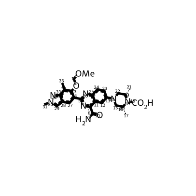 COCOc1c(-c2nc(C(N)=O)c3cc(N4C[C@@H](C)N(C(=O)O)[C@@H](C)C4)ccc3n2)cc2cn(C)nc2c1C